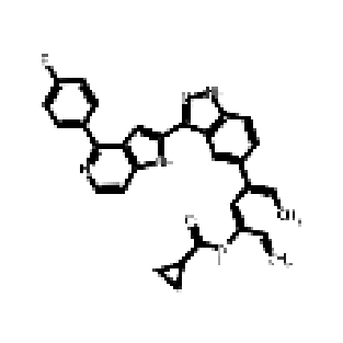 C=C/C(=C\C(=C/C)c1ccc2[nH]nc(-c3cc4c(-c5ccc(F)cc5)nccc4[nH]3)c2c1)NC(=O)C1CC1